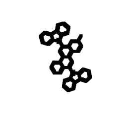 Cc1ccc2c(c1)c(-n1c3ccccc3c3ccccc31)cc1c3ccccc3c(-n3c4ccccc4c4ccccc43)cc21